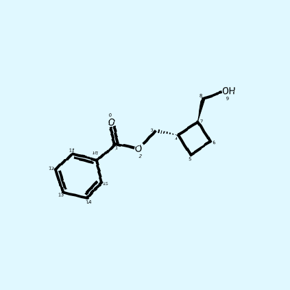 O=C(OC[C@H]1CC[C@@H]1CO)c1ccccc1